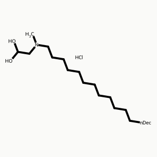 CCCCCCCCCCCCCCCCCCCCCCN(C)CC(O)O.Cl